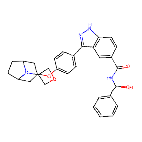 O=C(N[C@@H](O)c1ccccc1)c1ccc2[nH]nc(-c3ccc(OC4CC5CCC(C4)N5C4COC4)cc3)c2c1